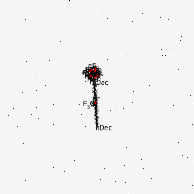 CCCCCCCCCCCCCCCCCCCCCC[NH+](CCCCCCCCCCCCCCCCCCCCCC)CC(F)(F)F.Fc1c(F)c(F)c([B-](c2c(F)c(F)c(F)c(F)c2F)(c2c(F)c(F)c(F)c(F)c2F)c2c(F)c(F)c(F)c(F)c2F)c(F)c1F